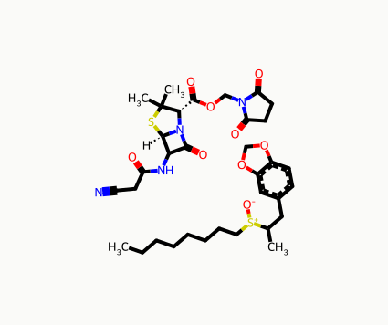 CC1(C)S[C@@H]2C(NC(=O)CC#N)C(=O)N2[C@H]1C(=O)OCN1C(=O)CCC1=O.CCCCCCCC[S+]([O-])C(C)Cc1ccc2c(c1)OCO2